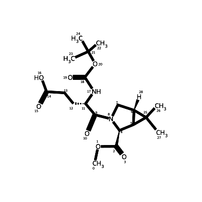 COC(=O)[C@@H]1C2[C@H](CN1C(=O)[C@H](CCC(=O)O)NC(=O)OC(C)(C)C)C2(C)C